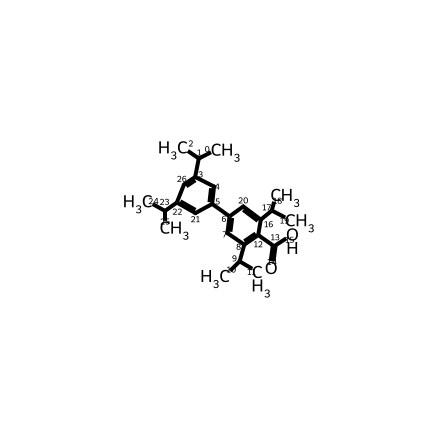 CC(C)c1cc(-c2cc(C(C)C)c(C(=O)O)c(C(C)C)c2)cc(C(C)C)c1